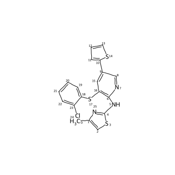 Cc1csc(Nc2ncc(-c3cccs3)cc2Sc2ccccc2Cl)n1